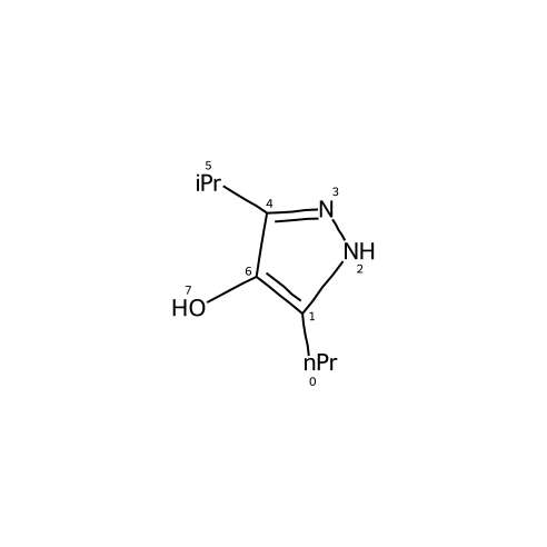 CCCc1[nH]nc(C(C)C)c1O